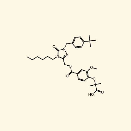 CCCCCCn1c(COC(=O)c2ccc(OC(C)(C)C(=O)O)c(OC)c2)nn(Cc2ccc(C(C)(C)C)cc2)c1=O